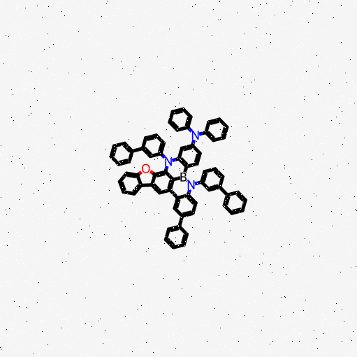 c1ccc(-c2cccc(N3B4c5ccc(N(c6ccccc6)c6ccccc6)cc5N(c5cccc(-c6ccccc6)c5)c5c4c(cc4c5oc5ccccc54)-c4cc(-c5ccccc5)ccc43)c2)cc1